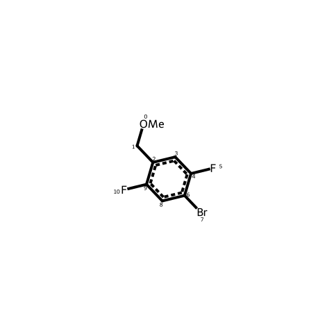 COCc1cc(F)c(Br)cc1F